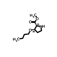 CCCCO[C@@H]1CCN[C@@H]1C(=O)OC